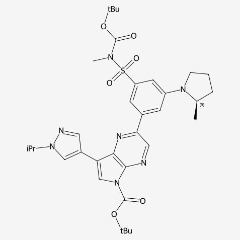 CC(C)n1cc(-c2cn(C(=O)OC(C)(C)C)c3ncc(-c4cc(N5CCC[C@H]5C)cc(S(=O)(=O)N(C)C(=O)OC(C)(C)C)c4)nc23)cn1